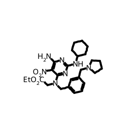 CCOC(=O)CN(Cc1cccc(CN2CCCC2)c1)c1nc(NC2CCCCC2)nc(N)c1[N+](=O)[O-]